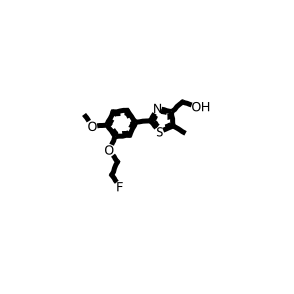 COc1ccc(-c2nc(CO)c(C)s2)cc1OCCF